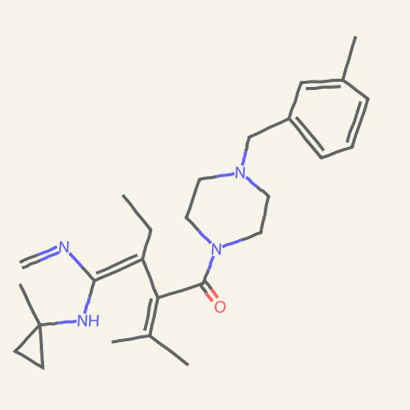 C=N/C(NC1(C)CC1)=C(\CC)C(C(=O)N1CCN(Cc2cccc(C)c2)CC1)=C(C)C